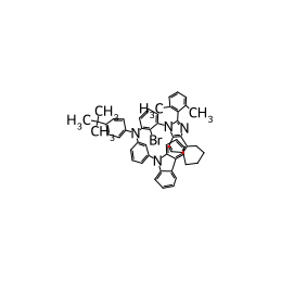 Cc1cccc(C)c1-c1nc2c3c(ccc2n1-c1cccc(N(c2ccc(C(C)(C)C)cc2)c2cccc(-n4c5ccccc5c5ccccc54)c2)c1Br)CCCC3